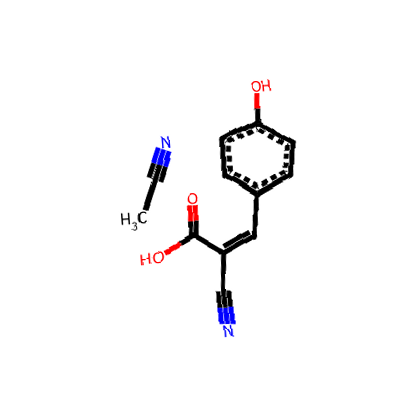 CC#N.N#CC(=Cc1ccc(O)cc1)C(=O)O